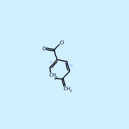 C=C(I)/C=C\C(=C/C)C(=O)Cl